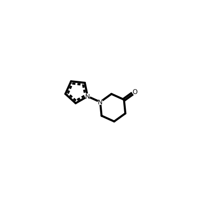 O=C1CCCN(n2cccc2)C1